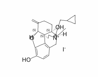 C=C1CC[C@@]2(O)[C@H]3Cc4ccc(O)c5c4[C@@]2(CC[N+]3(C)CC2CC2)[C@H]1O5.[I-]